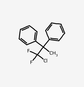 CC(c1ccccc1)(c1ccccc1)C(F)(F)Cl